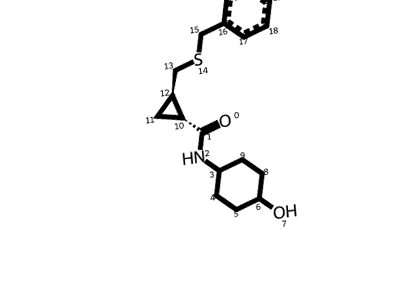 O=C(NC1CCC(O)CC1)[C@@H]1C[C@H]1CSCc1ccccc1